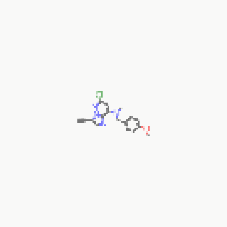 C#Cc1cnc2c(N(C)Cc3ccc(OC)cc3)cc(Cl)nn12